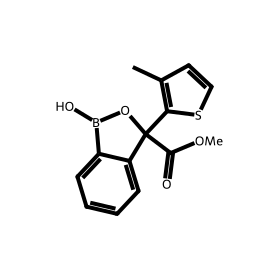 COC(=O)C1(c2sccc2C)OB(O)c2ccccc21